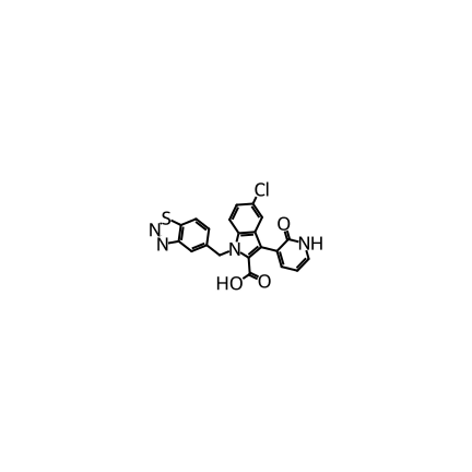 O=C(O)c1c(-c2ccc[nH]c2=O)c2cc(Cl)ccc2n1Cc1ccc2snnc2c1